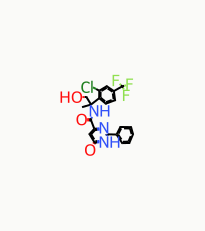 CC(CO)(NC(=O)c1cc(=O)[nH]c(-c2ccccc2)n1)c1ccc(C(F)(F)F)cc1Cl